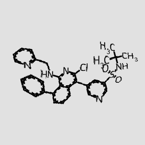 CC(C)(C)NS(=O)(=O)c1cncc(-c2c(Cl)nc(NCc3ccccn3)c3c(-c4ccccc4)cccc23)c1